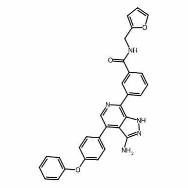 Nc1n[nH]c2c(-c3cccc(C(=O)NCc4ccco4)c3)ncc(-c3ccc(Oc4ccccc4)cc3)c12